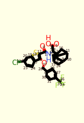 O=C(N[C@H](C(=O)O)C12CC3CC(CC(C3)C1)C2)c1sc2cc(Cl)ccc2c1OCc1ccc(C(F)(F)F)cc1